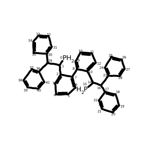 PC(c1ccccc1-c1ccccc1C(P)C(c1ccccc1)c1ccccc1)C(c1ccccc1)c1ccccc1